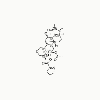 CC(=O)O[C@@H]1C[C@@]23COC[C@](C)([C@@H]2CC[C@H]2C3=CC(=O)[C@@]3(C)[C@H](C(=O)O)[C@@](C)([C@H](C)C(C)C)CC[C@]23C)[C@H]1OC(=O)C1=NCCC1